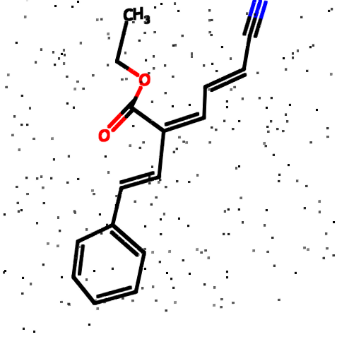 CCOC(=O)C(C=Cc1ccccc1)=CC=CC#N